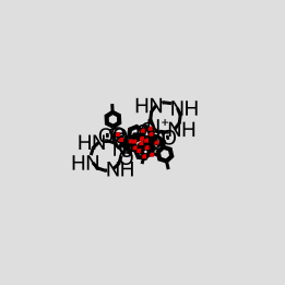 Cc1ccc(S(=O)(=O)C2(S(=O)(=O)c3ccc(C)cc3)CNCCNCCNCC[N+]2(Cc2cccc(C[N+]3(S(=O)(=O)c4ccc(C)cc4)CCNCCNCCNCC3(S(=O)(=O)c3ccc(C)cc3)S(=O)(=O)c3ccc(C)cc3)c2)S(=O)(=O)c2ccc(C)cc2)cc1